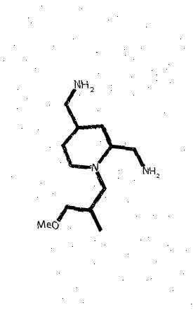 COCC(C)CN1CCC(CN)CC1CN